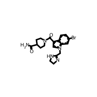 NC(=O)C1CCN(C(=O)c2cn(CC3=NCCN3)c3cc(Br)ccc23)CC1